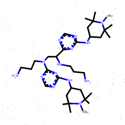 CCCCN1C(C)(C)CC(Nc2ncnc(C(CN(CCCN)c3ncnc(NC4CC(C)(C)N(CCCC)C(C)(C)C4)n3)NCCCN)n2)CC1(C)C